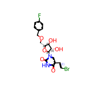 O=c1[nH]c(=O)n([C@@H]2O[C@H](COCc3ccc(F)cc3)[C@@H](O)[C@@H]2O)cc1/C=C/Br